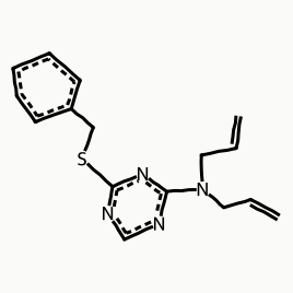 C=CCN(CC=C)c1ncnc(SCc2ccccc2)n1